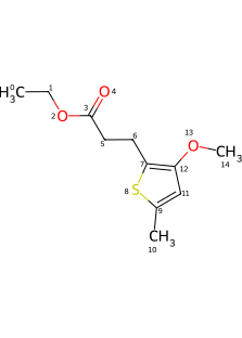 CCOC(=O)CCc1sc(C)cc1OC